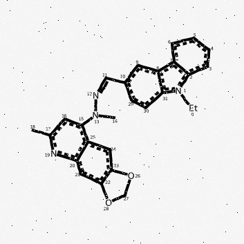 CCn1c2ccccc2c2cc(/C=N\N(C)c3cc(C)nc4cc5c(cc34)OCO5)ccc21